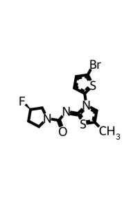 Cc1cn(-c2ccc(Br)s2)/c(=N/C(=O)N2CC[C@@H](F)C2)s1